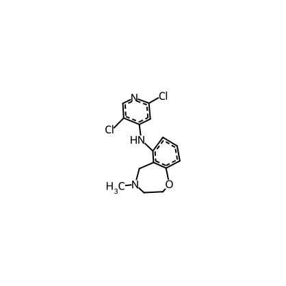 CN1CCOc2cccc(Nc3cc(Cl)ncc3Cl)c2C1